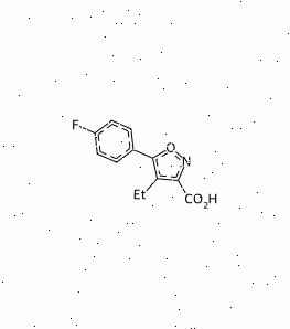 CCc1c(C(=O)O)noc1-c1ccc(F)cc1